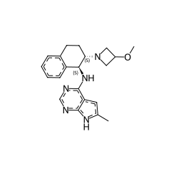 COC1CN([C@H]2CCc3ccccc3[C@@H]2Nc2ncnc3[nH]c(C)cc23)C1